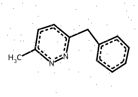 Cc1ccc(Cc2ccccc2)nn1